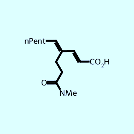 CCCCC/C=C(/C=C/C(=O)O)CCC(=O)NC